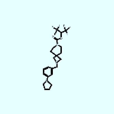 O=C(OC(C(F)(F)F)C(F)(F)F)N1CCC2(CC1)CN(Cc1cccc(N3CCCC3)c1)C2